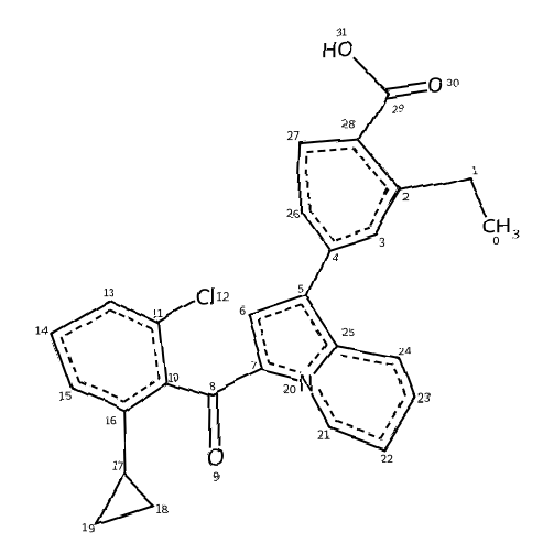 CCc1cc(-c2cc(C(=O)c3c(Cl)cccc3C3CC3)n3ccccc23)ccc1C(=O)O